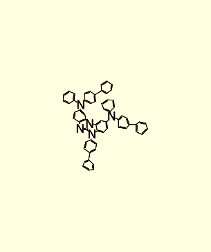 c1ccc(-c2ccc(N(c3ccccc3)c3ccc4nc5n(-c6ccc(-c7ccccc7)cc6)c6ccc(N(c7ccccc7)c7ccc(-c8ccccc8)cc7)cc6n5c4c3)cc2)cc1